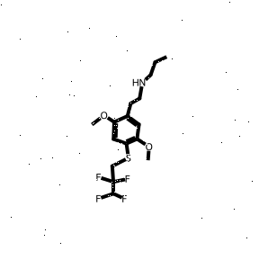 CCCNCCc1cc(OC)c(SCC(F)(F)C(F)F)cc1OC